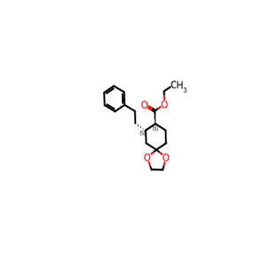 CCOC(=O)[C@H]1CCC2(C[C@@H]1CCc1ccccc1)OCCO2